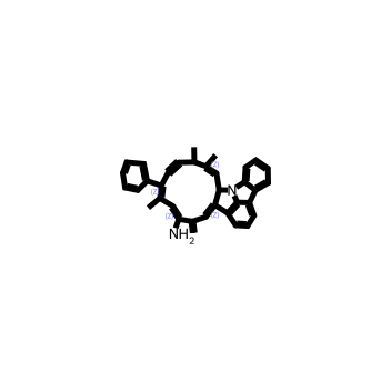 C=C1/C=C2/c3cccc4c5ccccc5n(c34)C2/C=C(/C)C(C)C#C/C(c2ccccc2)=C(C)\C=C\1N